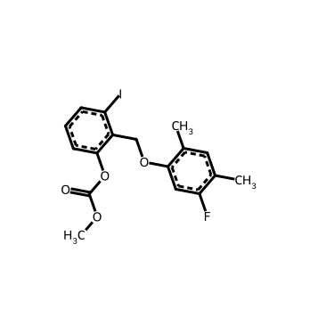 COC(=O)Oc1cccc(I)c1COc1cc(F)c(C)cc1C